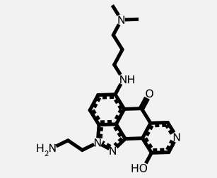 CN(C)CCCNc1ccc2c3c(nn2CCN)-c2c(O)cncc2C(=O)c13